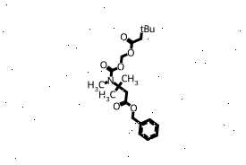 CN(C(=O)OCOC(=O)CC(C)(C)C)C(C)(C)CC(=O)OCc1ccccc1